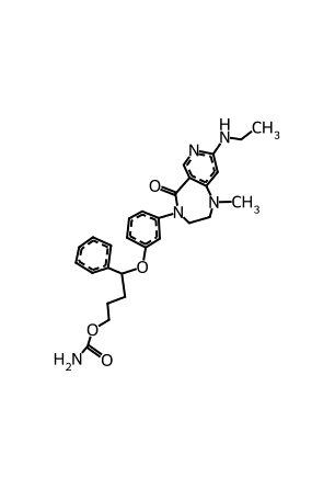 CCNc1cc2c(cn1)C(=O)N(c1cccc(OC(CCCOC(N)=O)c3ccccc3)c1)CCN2C